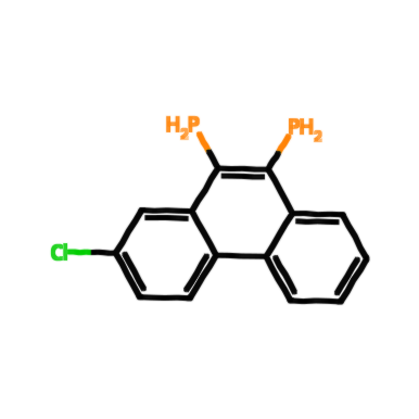 Pc1c(P)c2cc(Cl)ccc2c2ccccc12